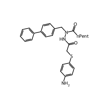 CCCCCC(=O)N(Cc1ccc(-c2ccccc2)cc1)NC(=O)CSc1ccc(N)cc1